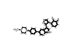 CN1CCN(c2ccc(-c3cnc4[nH]cc(-c5oncc5-c5cccc(F)c5F)c4c3)cc2)CC1